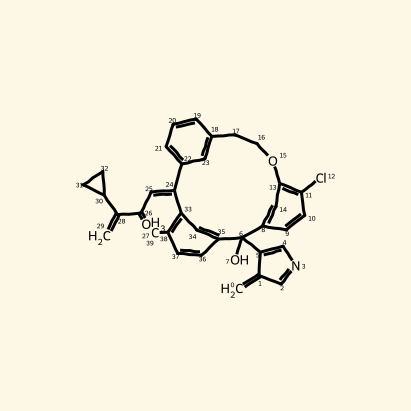 C=C1C=NC=C1C1(O)c2ccc(Cl)c(c2)OCCc2cccc(c2)/C(=C/C(=O)C(=C)C2CC2)c2cc1ccc2C